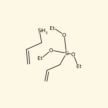 C=CC[SiH3].C=CC[Si](OCC)(OCC)OCC